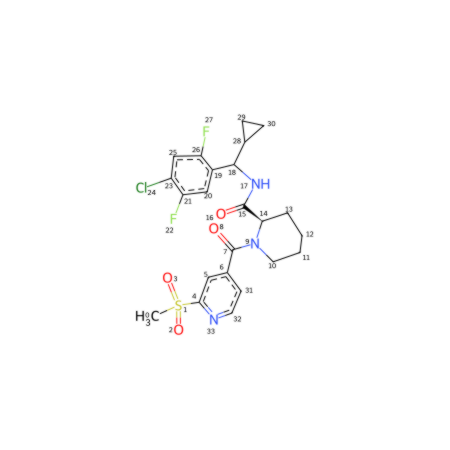 CS(=O)(=O)c1cc(C(=O)N2CCCC[C@@H]2C(=O)NC(c2cc(F)c(Cl)cc2F)C2CC2)ccn1